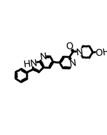 O=C(c1cc(-c2cnc3[nH]c(-c4ccccc4)cc3c2)ccn1)N1CCC(O)CC1